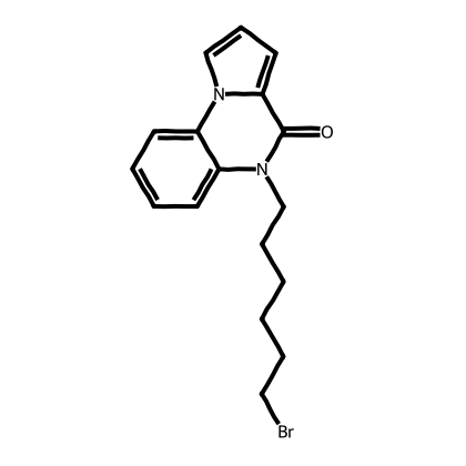 O=c1c2cccn2c2ccccc2n1CCCCCCBr